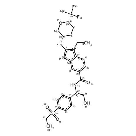 CCn1c(C[C@H]2CC[C@@H](C(F)(F)F)OC2)nc2cc(C(=O)N[C@@H](CO)c3ccc(S(=O)(=O)CC)cc3)ccc21